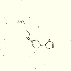 CC(=O)OCCCOC1=CSC(=C2SC=CS2)S1